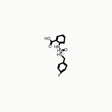 O=C(O)c1ccccc1N/[SH](=O)=[SH]/Cc1ccc(F)cc1